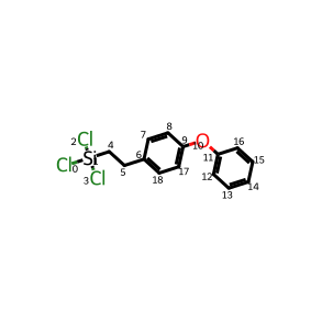 Cl[Si](Cl)(Cl)CCc1ccc(Oc2ccccc2)cc1